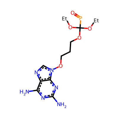 CCOC(OCC)(OCCCOn1cnc2c(N)nc(N)nc21)P=O